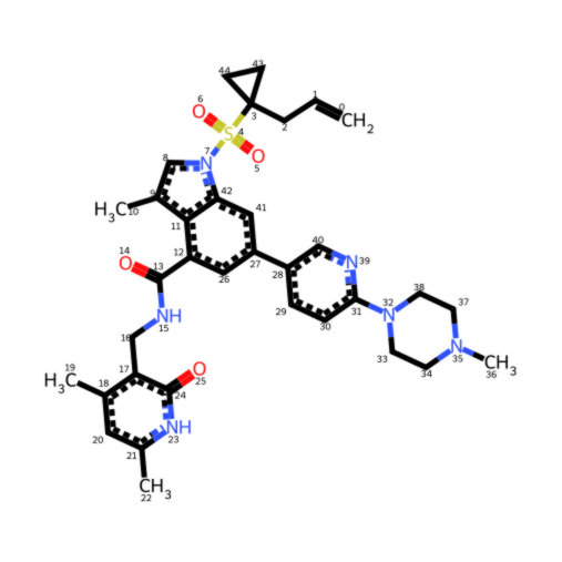 C=CCC1(S(=O)(=O)n2cc(C)c3c(C(=O)NCc4c(C)cc(C)[nH]c4=O)cc(-c4ccc(N5CCN(C)CC5)nc4)cc32)CC1